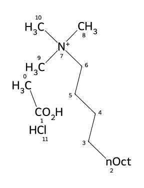 CC(=O)O.CCCCCCCCCCCC[N+](C)(C)C.Cl